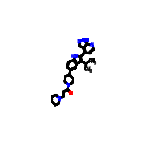 CC(C)c1c(-c2ccnc3[nH]ncc23)[nH]c2ccc(C3CCN(C(=O)CCN4CCCCC4)CC3)cc12